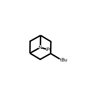 CC(C)N1C2CC1CC(C(C)(C)C)C2